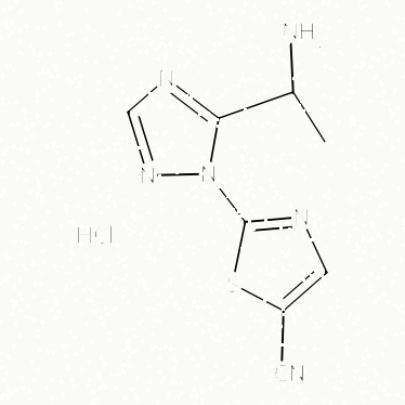 CC(N)c1ncnn1-c1ncc(C#N)s1.Cl